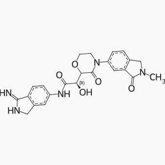 CN1Cc2ccc(N3CCOC([C@@H](O)C(=O)Nc4ccc5c(c4)CNC5=N)C3=O)cc2C1=O